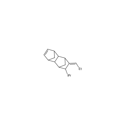 CCC=C1C2CC(C1C(C)C)C1C3C=CC(C3)C21